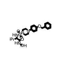 CC(C)C(NS(=O)(=O)N1CCN(c2ccc(OCc3ccccc3)cc2)CC1)C(=O)NO